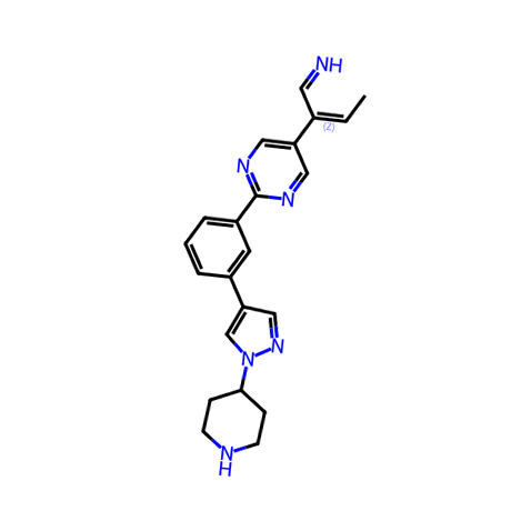 C/C=C(\C=N)c1cnc(-c2cccc(-c3cnn(C4CCNCC4)c3)c2)nc1